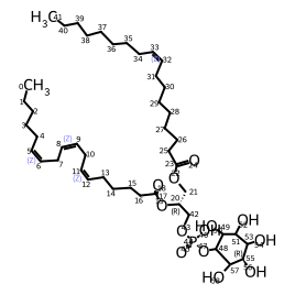 CCCCC/C=C\C/C=C\C/C=C\CCCCC(=O)O[C@H](COC(=O)CCCCCCC/C=C\CCCCCCCC)COP(=O)(O)OC1C(O)C(O)C(O)[C@@H](O)C1O